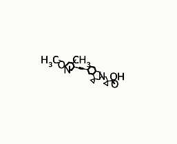 CCOc1cc(C)c(C#Cc2ccc3c(c2)C2(CC2)CN(CC2(C(=O)O)CC2)C3)cn1